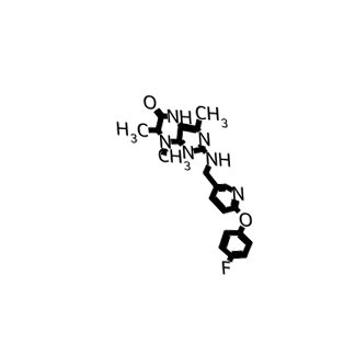 Cc1nc(NCc2ccc(Oc3ccc(F)cc3)nc2)nc2c1NC(=O)C(C)N2C